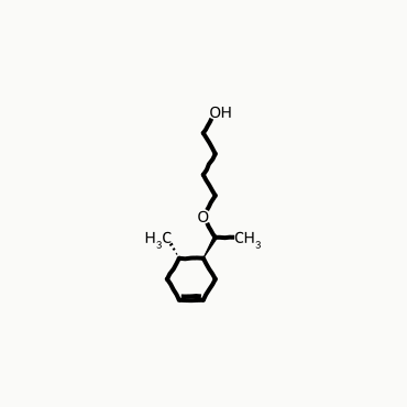 CC(OCCCCO)[C@H]1CC=CC[C@@H]1C